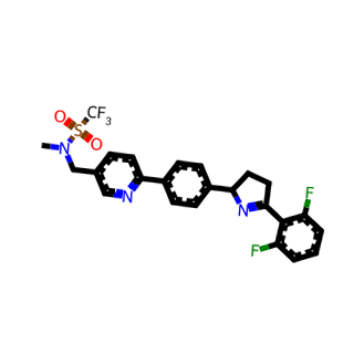 CN(Cc1ccc(-c2ccc(C3CCC(c4c(F)cccc4F)=N3)cc2)nc1)S(=O)(=O)C(F)(F)F